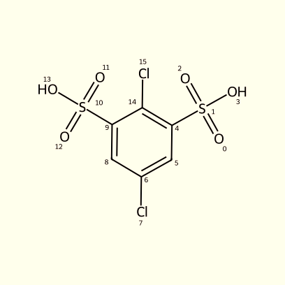 O=S(=O)(O)c1cc(Cl)cc(S(=O)(=O)O)c1Cl